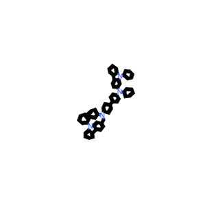 c1ccc(N(Cc2ccc3c4ccccc4n(-c4ccccc4)c3c2)c2ccc(-c3ccc(N(c4ccccc4)c4ccc5c6ccccc6n(-c6ccccc6)c5c4)cc3)cc2)cc1